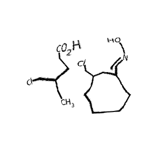 CC(Cl)CC(=O)O.O/N=C1/CCCCC1Cl